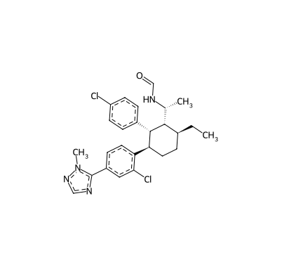 CC[C@H]1CC[C@@H](c2ccc(-c3ncnn3C)cc2Cl)[C@H](c2ccc(Cl)cc2)[C@@H]1[C@@H](C)NC=O